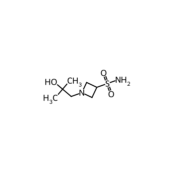 CC(C)(O)CN1CC(S(N)(=O)=O)C1